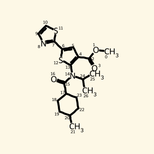 COC(=O)c1cc(-c2nccs2)sc1N(C(=O)C1CCC(C)CC1)C(C)C